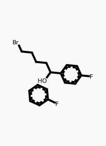 Fc1ccccc1.OC(CCCCBr)c1ccc(F)cc1